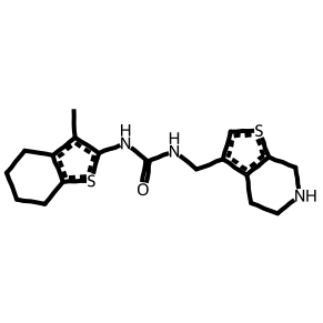 Cc1c(NC(=O)NCc2csc3c2CCNC3)sc2c1CCCC2